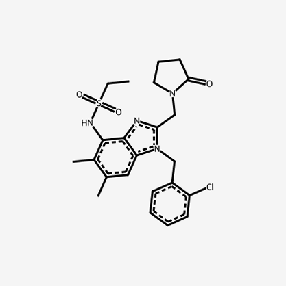 CCS(=O)(=O)Nc1c(C)c(C)cc2c1nc(CN1CCCC1=O)n2Cc1ccccc1Cl